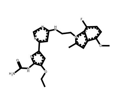 CCOc1cc(-c2cc(NCCn3c(C)cc4c(OC)ccc(F)c43)ncn2)sc1NC(N)=O